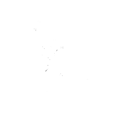 CC(C)N(C)CCN1C(=O)N2[C@H](c3cccc(O)c3)c3[nH]c4cc(F)c(Cl)cc4c3C[C@@]2(C)C1=O